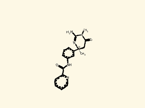 CN1C(=O)C[C@@](C)(c2cccc(NC(=O)c3ccccn3)c2)N=C1N